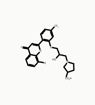 O=C(O)C1CCN(CC(O)COc2cc(C(F)(F)F)ccc2-c2cc(=O)c3cccc(Cl)c3o2)C1